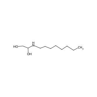 CCCCCCCCNC(O)CO